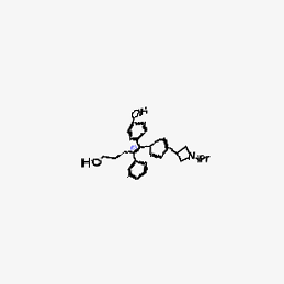 CC(C)N1CC(C2=CCC(/C(=C(/CCCO)c3ccccc3)c3ccc(O)cc3)C=C2)C1